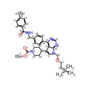 CC(C)(C)OC(=O)N1CCC(c2cn(COCC[Si](C)(C)C)c3ncnc(-c4ccc(CNC(=O)c5ccc(C(C)(C)C)cc5)cc4)c23)CC1